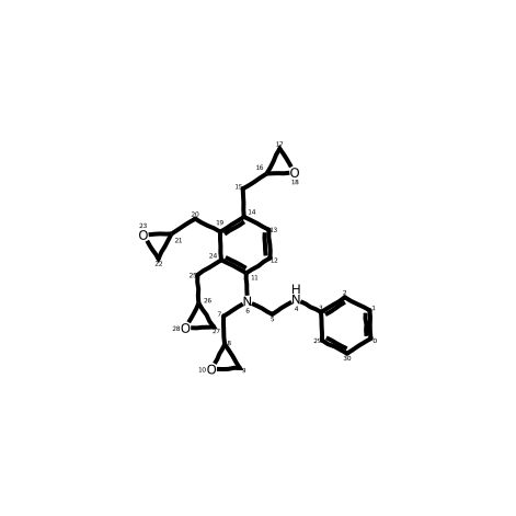 c1ccc(NCN(CC2CO2)c2ccc(CC3CO3)c(CC3CO3)c2CC2CO2)cc1